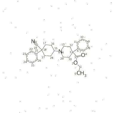 CCOC(=O)C1(c2ccccc2)CCN(C2CCC(C#N)(c3ccccc3)CC2)CC1